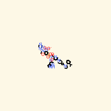 CC(C)c1ccccc1[C@@H]1CCCN1C1CC2(CCN(c3cnc(C(=O)NS(=O)(=O)c4cc5c(c([N+](=O)[O-])c4)N[C@@H](CN4CCN(C)CC4)CO5)c(Oc4cnc5[nH]ccc5c4)c3)CC2)C1